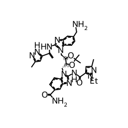 C=C(Nc1nc2cc(CN)ccc2n1C[C@H]1OC(C)(C)O[C@@H]1Cn1c(NC(=O)c2cc(C)nn2CC)nc2cc(C(N)=O)ccc21)c1cc(C)n[nH]1